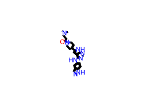 CN(C)CCC(=O)N1CC=C(c2cc3c(Nc4ccc5[nH]ncc5c4)ncnc3[nH]2)CC1